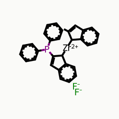 CC1=Cc2ccccc2[CH]1[Zr+2][CH]1C(P(c2ccccc2)c2ccccc2)=Cc2ccccc21.[F-].[F-]